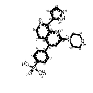 O=P(O)(O)c1ccc(-c2cc(N3CCOCC3)nc3c(-c4ccn[nH]4)nccc23)cc1